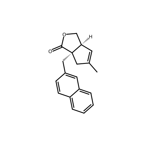 CC1=C[C@@H]2COC(=O)[C@]2(Cc2ccc3ccccc3c2)C1